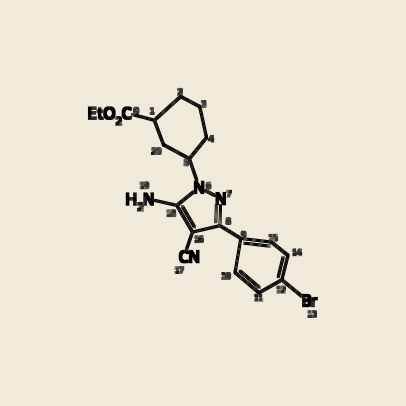 CCOC(=O)C1CCCC(n2nc(-c3ccc(Br)cc3)c(C#N)c2N)C1